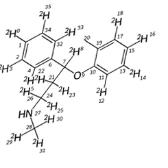 [2H]c1c([2H])c([2H])c(C([2H])(Oc2c([2H])c([2H])c([2H])c([2H])c2C)C([2H])([2H])C([2H])([2H])NC([2H])([2H])[2H])c([2H])c1[2H]